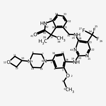 CCOc1cc(N2CCN(C3COC3)CC2)ccc1Nc1ncc(C(F)(F)F)c(NCc2cccc3c2C(C)(C)C(=O)N3)n1